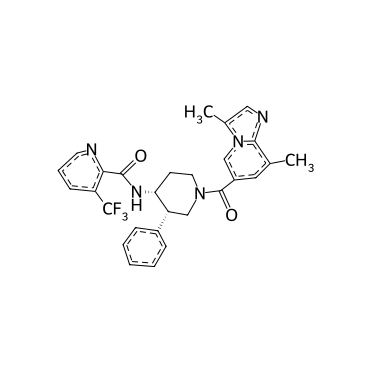 Cc1cc(C(=O)N2CC[C@@H](NC(=O)c3ncccc3C(F)(F)F)[C@@H](c3ccccc3)C2)cn2c(C)cnc12